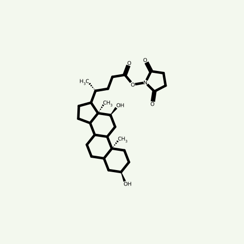 C[C@H](CCC(=O)ON1C(=O)CCC1=O)C1CCC2C3CCC4C[C@H](O)CC[C@]4(C)C3C[C@H](O)[C@@]21C